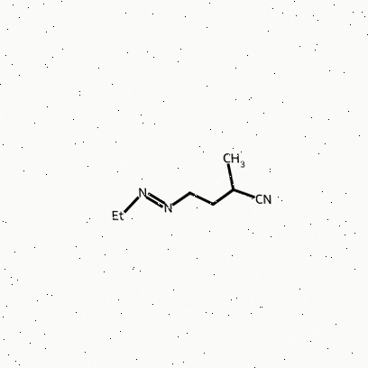 CCN=NCCC(C)C#N